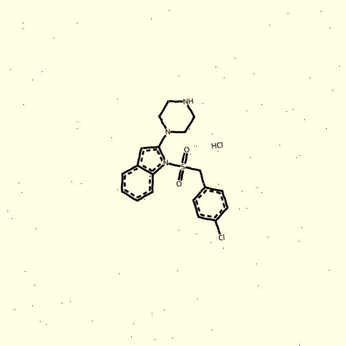 Cl.O=S(=O)(Cc1ccc(Cl)cc1)n1c(N2CCNCC2)cc2ccccc21